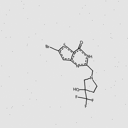 O=c1[nH]c(CN2CCC(O)(C(F)(F)F)C2)nc2cc(Br)sc12